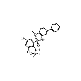 COc1ccc(-c2ccccc2)cc1NS(=O)(=O)c1cc(Cl)cc(Cl)c1NS(C)(=O)=O